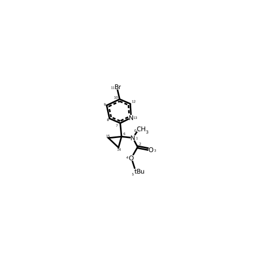 CN(C(=O)OC(C)(C)C)C1(c2ccc(Br)cn2)CC1